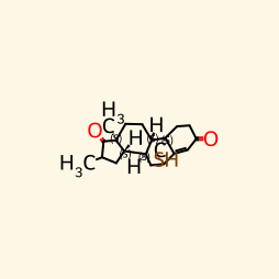 CC1C[C@H]2[C@@H]3CCC4=CC(=O)CC[C@]4(CS)[C@H]3CC[C@]2(C)C1=O